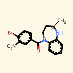 C[C@H]1CCN(C(=O)c2ccc(Br)c([N+](=O)[O-])c2)c2ccccc2N1